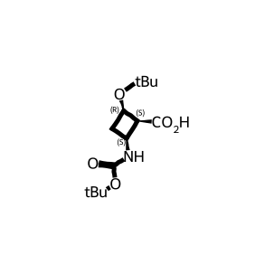 CC(C)(C)OC(=O)N[C@H]1C[C@@H](OC(C)(C)C)[C@H]1C(=O)O